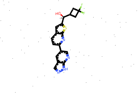 O[C@H](c1cc2ccc(-c3cnc4[nH]ncc4c3)nc2s1)C1CC(F)(F)C1